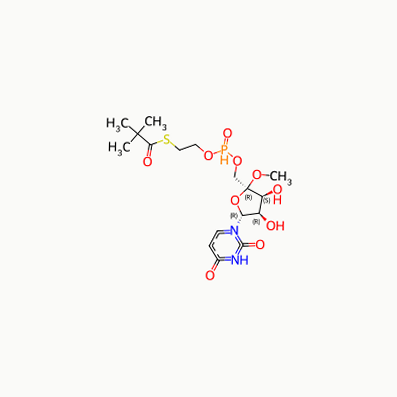 CO[C@]1(CO[PH](=O)OCCSC(=O)C(C)(C)C)O[C@@H](n2ccc(=O)[nH]c2=O)[C@H](O)[C@@H]1O